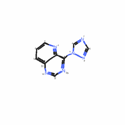 c1cnc2c(-n3cncn3)ncnc2c1